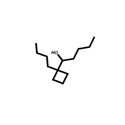 CCCCC(O)C1(CCCC)CCC1